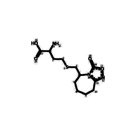 NC(CCSCC1CCCCc2noc(=O)n21)C(=O)O